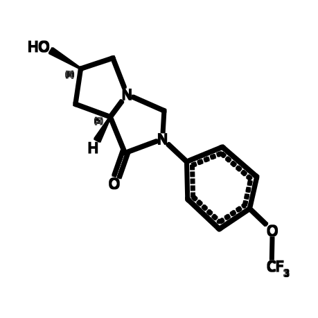 O=C1[C@@H]2C[C@@H](O)CN2CN1c1ccc(OC(F)(F)F)cc1